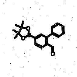 CC1(C)OB(c2ccc(C=O)c(-c3ccccc3)c2)OC1(C)C